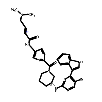 CN(C)C/C=C/C(=O)Nc1ccc(C(=O)N2CCC[C@@H](Nc3ncc(Br)c(-c4c[nH]c5ccccc45)n3)C2)nc1